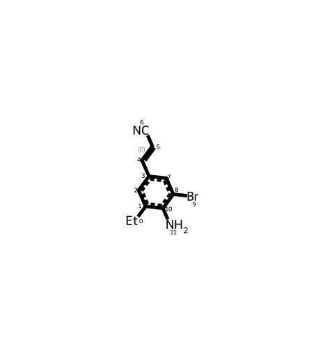 CCc1cc(/C=C/C#N)cc(Br)c1N